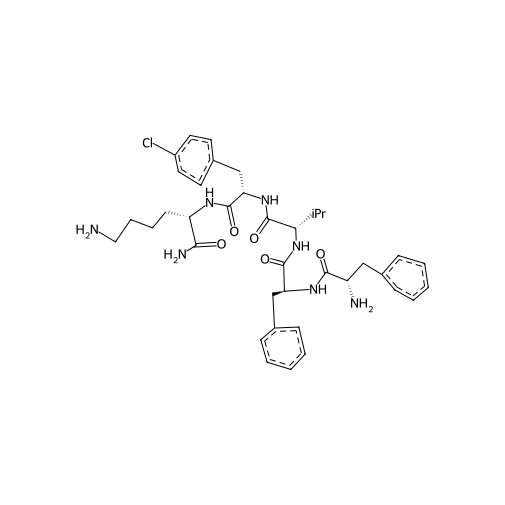 CC(C)[C@H](NC(=O)[C@H](Cc1ccccc1)NC(=O)[C@@H](N)Cc1ccccc1)C(=O)N[C@@H](Cc1ccc(Cl)cc1)C(=O)N[C@@H](CCCCN)C(N)=O